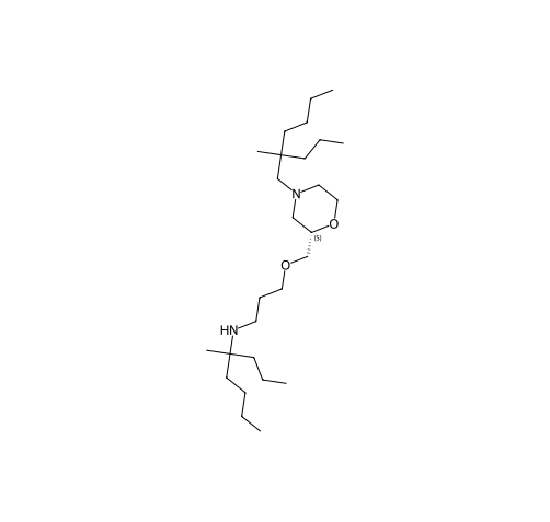 CCCCC(C)(CCC)CN1CCO[C@H](COCCCNC(C)(CCC)CCCC)C1